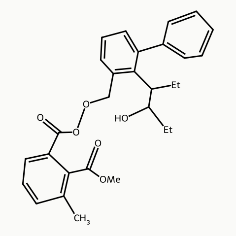 CCC(O)C(CC)c1c(COOC(=O)c2cccc(C)c2C(=O)OC)cccc1-c1ccccc1